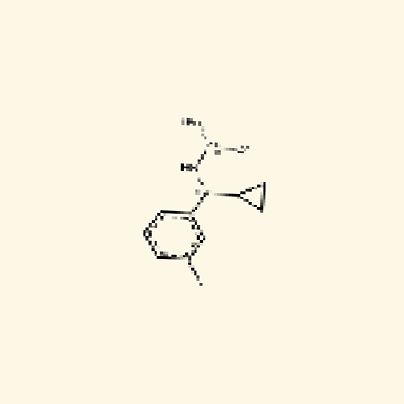 CC(C)(C)[S@+]([O-])N[C@@H](c1cccc(F)c1)C1CC1